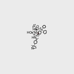 Cc1ncsc1-c1ccc([C@H](C)NC(=O)[C@@H]2C[C@@H](O)CN2C(=O)[C@@H](NC(=O)C2(F)CC2)C(C)(C)SC(c2ccccc2)(c2ccccc2)c2ccccc2)cc1